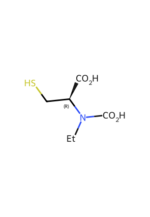 CCN(C(=O)O)[C@@H](CS)C(=O)O